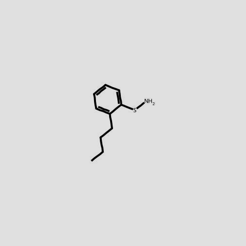 CCCCc1ccccc1SN